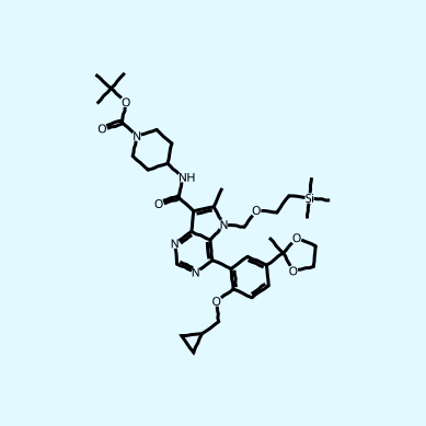 Cc1c(C(=O)NC2CCN(C(=O)OC(C)(C)C)CC2)c2ncnc(-c3cc(C4(C)OCCO4)ccc3OCC3CC3)c2n1COCC[Si](C)(C)C